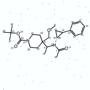 COCC1(C(C)N(C(C)=O)[C@@H]2CC2c2ccccc2)CCN(C(=O)OC(C)(C)C)CC1